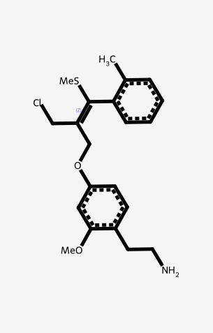 COc1cc(OC/C(CCl)=C(/SC)c2ccccc2C)ccc1CCN